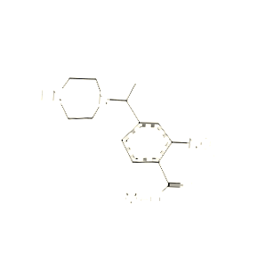 COC(=O)c1ccc(C(C)N2CCNCC2)cc1[N+](=O)[O-]